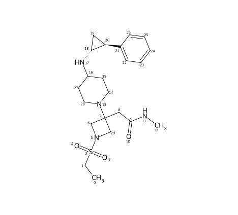 CCS(=O)(=O)N1CC(CC(=O)NC)(N2CCC(N[C@@H]3C[C@H]3c3ccccc3)CC2)C1